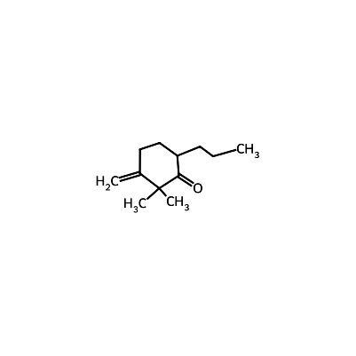 C=C1CCC(CCC)C(=O)C1(C)C